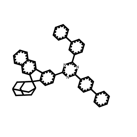 c1ccc(-c2ccc(-c3nc(-c4cccc(-c5ccccc5)c4)nc(-c4ccc5c(c4)-c4cc6ccccc6cc4C54C5CC6CC(C5)CC4C6)n3)cc2)cc1